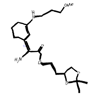 COCCCNC1=C/C(=C(/N)C(=O)OCCC2COC(C)(C)O2)CCC1